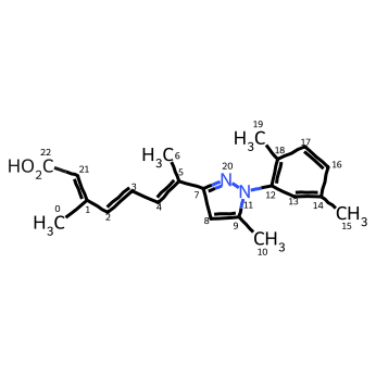 CC(C=CC=C(C)c1cc(C)n(-c2cc(C)ccc2C)n1)=CC(=O)O